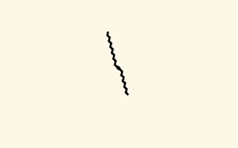 CCCCCCCCCC#CCCCCCCCCCCCC